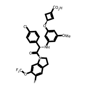 COc1cc(N[C@H](C(=O)N2CCc3cc(F)c(OC(F)(F)F)cc32)c2ccc(Cl)cc2)cc(O[C@@H]2C=C(C(=O)O)C2)c1